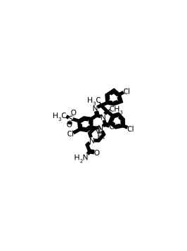 CCOc1cc(Cl)c(S(C)(=O)=O)cc1C1=N[C@@](C)(c2ccc(Cl)cc2)[C@@](C)(c2ccc(Cl)cc2)N1C(=O)N1CCN(CC(N)=O)CC1